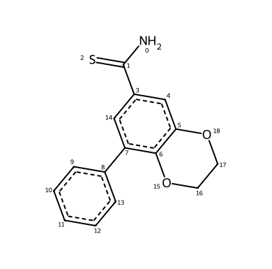 NC(=S)c1cc2c(c(-c3ccccc3)c1)OCCO2